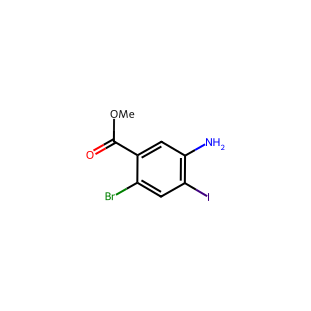 COC(=O)c1cc(N)c(I)cc1Br